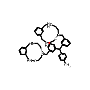 Cc1ccc(C(c2cccc(CN3CCCNCc4cccc(c4)CNCCC3)c2)c2cccc(CN3CCCNCc4cccc(c4)CNCCC3)c2)cc1